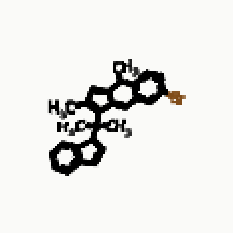 CC1=C(C(C)(C)C2C=Cc3ccccc32)C2=Cc3cc(Br)ccc3C(C)C2=C1